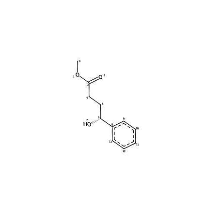 COC(=O)CC[C@@H](O)c1ccccc1